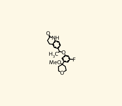 COC1(c2cc(F)cc(OC(C)c3ccc4c(c3)CCC(=O)N4)c2)CCOCC1